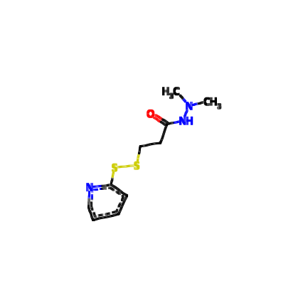 CN(C)NC(=O)CCSSc1ccccn1